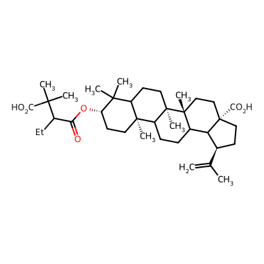 C=C(C)[C@@H]1CC[C@]2(C(=O)O)CC[C@]3(C)C(CCC4[C@@]5(C)CC[C@H](OC(=O)C(CC)C(C)(C)C(=O)O)C(C)(C)C5CC[C@]43C)C12